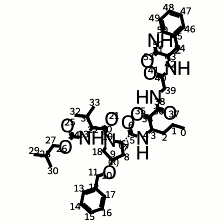 CCCC(NC(=O)[C@@H]1C[C@@H](OCc2ccccc2)CN1C(=O)C(NC(=O)OCC(C)C)C(C)C)C(=O)C(=O)NCC(=O)NC(Cc1ccccc1)C(N)=O